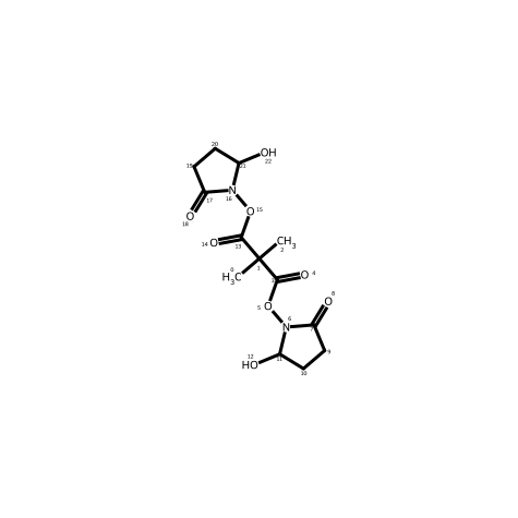 CC(C)(C(=O)ON1C(=O)CCC1O)C(=O)ON1C(=O)CCC1O